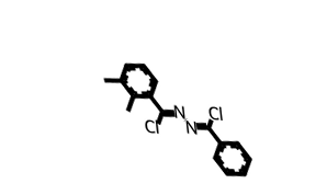 Cc1cccc(C(Cl)=NN=C(Cl)c2ccccc2)c1C